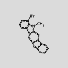 CC(C)c1cccc2c3cc4sc5ccccc5c4cc3n(C)c12